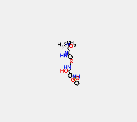 CN(C)C(=O)CCc1n[nH]c2cc(OCCNC[C@H](O)c3cccc(NS(=O)(=O)c4ccccc4)c3)ccc12